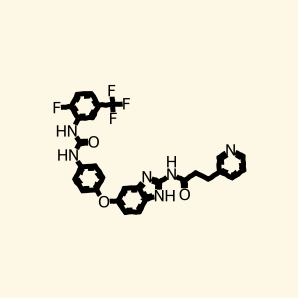 O=C(CCc1cccnc1)Nc1nc2cc(Oc3ccc(NC(=O)Nc4cc(C(F)(F)F)ccc4F)cc3)ccc2[nH]1